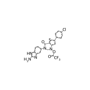 Nc1nc2cc(N3CN(OC(=O)C(F)(F)F)c4cc(-c5ccc(Cl)cc5)sc4C3=O)ccc2[nH]1